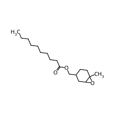 CCCCCCCCCC(=O)OCC1CCC2(C)OC2C1